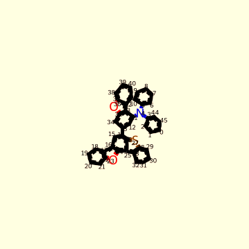 c1ccc(N(c2ccccc2)c2cc(-c3cc4c5ccccc5oc4c4c3sc3ccccc34)cc3oc4ccccc4c23)cc1